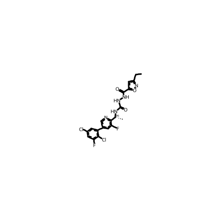 CCc1cc(C(=O)NNC(=O)N[C@H](C)c2ncc(-c3cc(Cl)cc(F)c3Cl)cc2F)on1